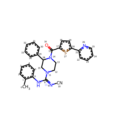 Cc1ccccc1N/C(=N/C#N)N1CCN(C(=O)c2ccc(-c3ccccn3)s2)C(c2ccccc2)C1